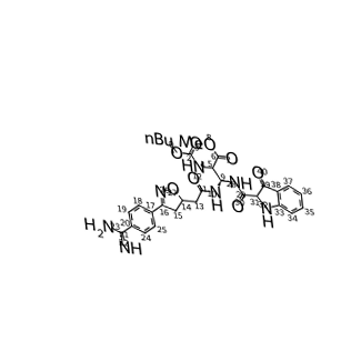 CCCCOC(=O)NC(C(=O)OC)[C@H](NC(=O)CC1CC(c2ccc(C(=N)N)cc2)=NO1)NC(=O)C1Nc2ccccc2C1=O